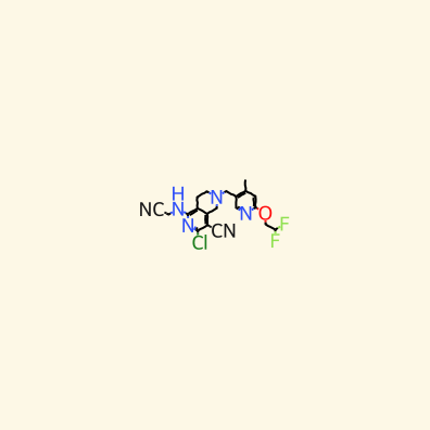 Cc1cc(OCC(F)F)ncc1CN1CCc2c(NCC#N)nc(Cl)c(C#N)c2C1